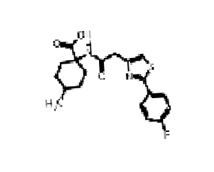 CC1CCC(NC(=O)Cc2csc(-c3ccc(F)cc3)n2)(C(=O)O)CC1